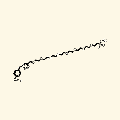 CCOP(=O)(F)CCOCCOCCOCCOCCOCCOCCOCCOCc1cn(Cc2ccc(OC)cc2)nn1